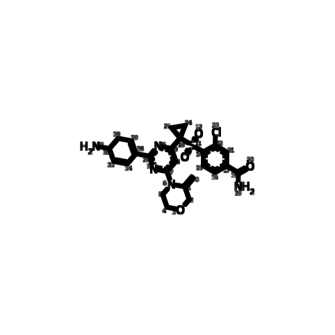 C=C1COCCN1c1cc(C2(S(=O)(=O)c3ccc(C(N)=O)cc3Cl)CC2)nc(C2=CCC(N)C=C2)n1